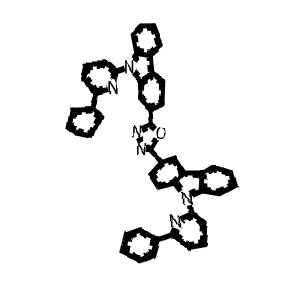 c1ccc(-c2cccc(-n3c4ccccc4c4cc(-c5nnc(-c6ccc7c8ccccc8n(-c8cccc(-c9ccccc9)n8)c7c6)o5)ccc43)n2)cc1